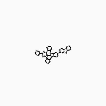 c1ccc(-c2nc(-c3ccccc3)nc(-c3ncccc3-n3c4ccccc4c4ccc(-c5ccc6c(c5)sc5ccccc56)cc43)n2)cc1